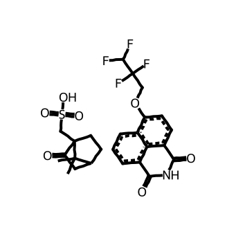 CC1(C)C2CCC1(CS(=O)(=O)O)C(=O)C2.O=C1NC(=O)c2ccc(OCC(F)(F)C(F)F)c3cccc1c23